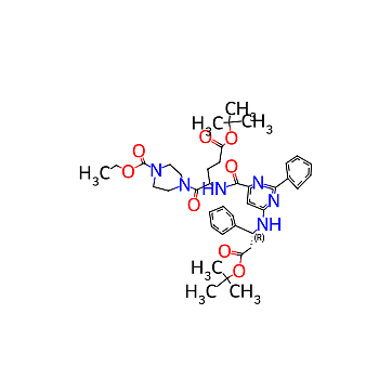 CCOC(=O)N1CCN(C(=O)C(CCC(=O)OC(C)(C)C)NC(=O)c2cc(N[C@H](CC(=O)OC(C)(C)C)c3ccccc3)nc(-c3ccccc3)n2)CC1